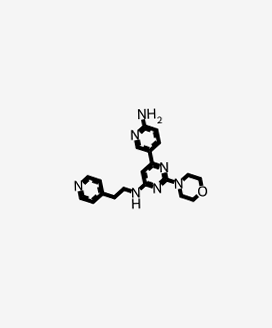 Nc1ccc(-c2cc(NCCc3ccncc3)nc(N3CCOCC3)n2)cn1